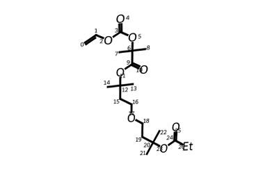 C=COC(=O)OC(C)(C)C(=O)OC(C)(C)CCOCCC(C)(C)OC(=O)CC